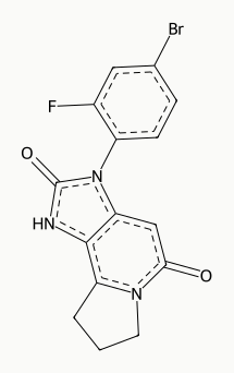 O=c1cc2c([nH]c(=O)n2-c2ccc(Br)cc2F)c2n1CCC2